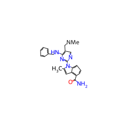 CNCc1cnc(-n2c(C)cc3c(C(N)=O)cccc32)nc1NCc1ccccc1